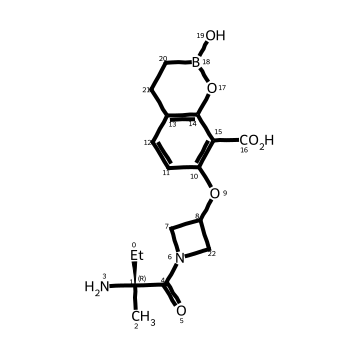 CC[C@@](C)(N)C(=O)N1CC(Oc2ccc3c(c2C(=O)O)OB(O)CC3)C1